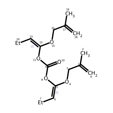 C=C(C)CO/C(=C/CC)OC(=O)O/C(=C\CC)OCC(=C)C